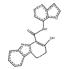 O=C(Nc1cccc2ccoc12)C1=C(O)CCn2c1nc1ccccc12